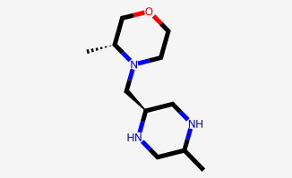 CC1CN[C@@H](CN2CCOC[C@H]2C)CN1